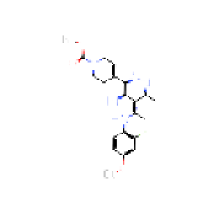 CCOc1ccc(N/C(C)=C2\C(=N)C(C3=CCN(C(=O)OC(C)(C)C)CC3)=NN=C2C)c(F)c1